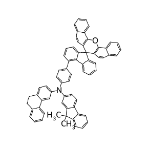 CC1(C)c2ccccc2-c2ccc(N(c3ccc(-c4cccc5c4-c4ccccc4C54c5ccc6ccccc6c5Oc5c4ccc4ccccc54)cc3)c3ccc4c(c3)-c3ccccc3CC4)cc21